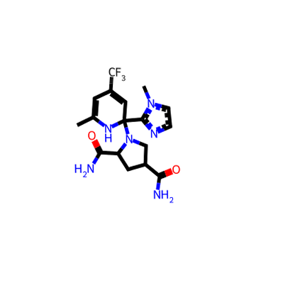 CC1=CC(C(F)(F)F)=CC(c2nccn2C)(N2CC(C(N)=O)CC2C(N)=O)N1